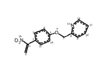 C=C(c1ccc(OCc2ccccn2)cc1)[N+](=O)[O-]